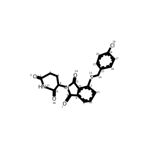 O=C1CCC(N2C(=O)c3cccc(SCc4ccc(Cl)cc4)c3C2=O)C(=O)N1